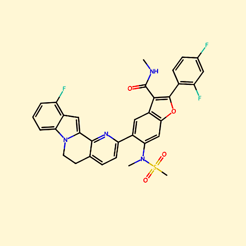 CNC(=O)c1c(-c2ccc(F)cc2F)oc2cc(N(C)S(C)(=O)=O)c(-c3ccc4c(n3)-c3cc5c(F)cccc5n3CC4)cc12